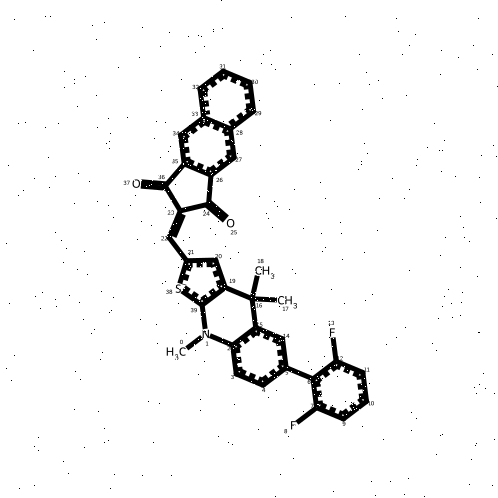 CN1c2ccc(-c3c(F)cccc3F)cc2C(C)(C)c2cc(C=C3C(=O)c4cc5ccccc5cc4C3=O)sc21